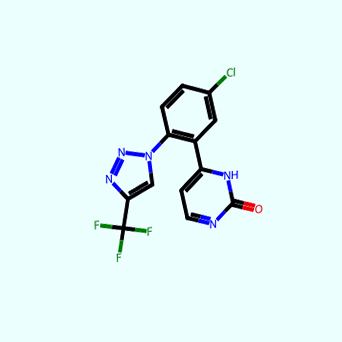 O=c1nccc(-c2cc(Cl)ccc2-n2cc(C(F)(F)F)nn2)[nH]1